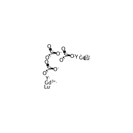 O=[Si]([O-])[O-].O=[Si]([O-])[O-].O=[Si]([O-])[O-].[Gd+3].[Gd+3].[Lu].[Lu].[Y].[Y]